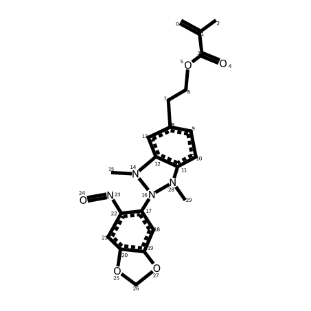 C=C(C)C(=O)OCCc1ccc2c(c1)N(C)N(c1cc3c(cc1N=O)OCO3)N2C